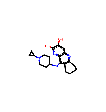 Oc1cc2nc3c(c(NC4CCN(C5CC5)CC4)c2nc1O)CCCC3